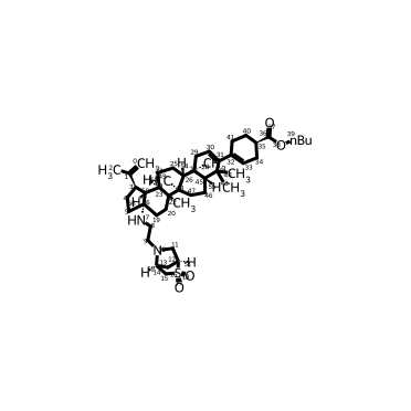 C=C(C)[C@@H]1CC[C@]2(NCCN3C[C@@H]4C[C@H]3CS4(=O)=O)CC[C@]3(C)[C@H](CC[C@@H]4[C@@]5(C)CC=C(C6=CC[C@H](C(=O)OCCCC)CC6)C(C)(C)[C@@H]5CC[C@]43C)[C@@H]12